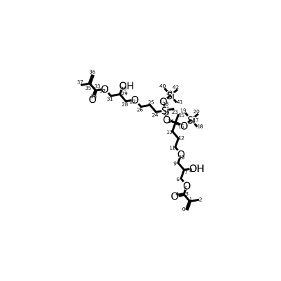 C=C(C)C(=O)OCC(O)COCCCC(C)(O[Si](C)(C)C)O[Si](C)(CCCOCC(O)COC(=O)C(=C)C)O[Si](C)(C)C